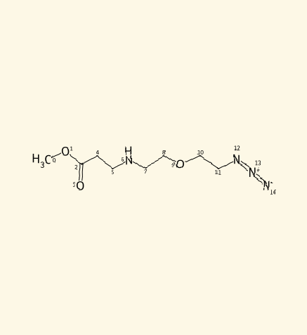 COC(=O)CCNCCOCCN=[N+]=[N-]